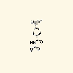 COC(=O)NC(=O)c1ccc([N+](=O)[O-])cc1